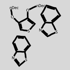 CCCCCCCCCCOc1cscc1OCCCCCCCCCC.c1ccc2scnc2c1.c1ccc2scnc2c1